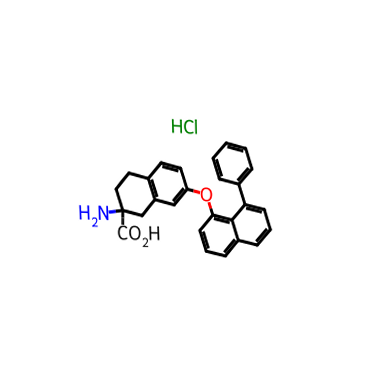 Cl.NC1(C(=O)O)CCc2ccc(Oc3cccc4cccc(-c5ccccc5)c34)cc2C1